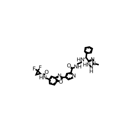 CN1N=C([C@H](NCCNC(=O)c2cc(-c3nc4cc(NC(=O)[C@@H]5CC5(F)F)ccc4o3)ccn2)c2ccccc2)NN1